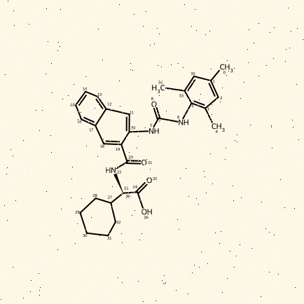 Cc1cc(C)c(NC(=O)Nc2cc3ccccc3cc2C(=O)N[C@@H](C(=O)O)C2CCCCC2)c(C)c1